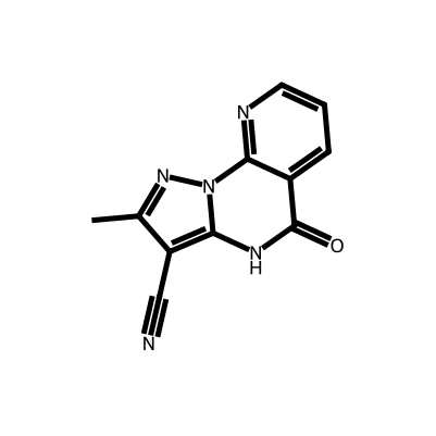 Cc1nn2c([nH]c(=O)c3cccnc32)c1C#N